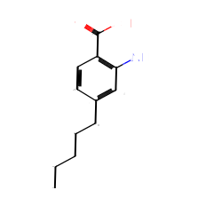 CCCCCc1ccc(C(=O)O)c(N)c1